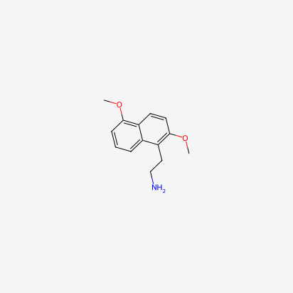 COc1ccc2c(OC)cccc2c1CCN